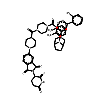 Cc1c(C(=O)N2CCN(C(=O)C3CCN(c4ccc5c(c4)C(=O)N(C4CCC(=O)NC4=O)C5=O)CC3)CC2)cccc1N1C2CCC1CN(c1cc(-c3ccccc3O)nnc1N)C2